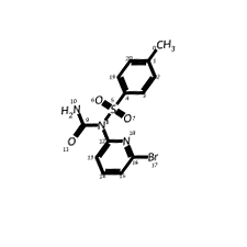 Cc1ccc(S(=O)(=O)N(C(N)=O)c2cccc(Br)n2)cc1